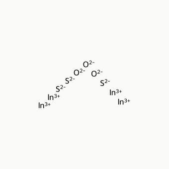 [In+3].[In+3].[In+3].[In+3].[O-2].[O-2].[O-2].[S-2].[S-2].[S-2]